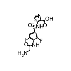 NCC(=O)Nc1c(F)cc([S+]([O-])Nc2scnc2C(=O)O)cc1F